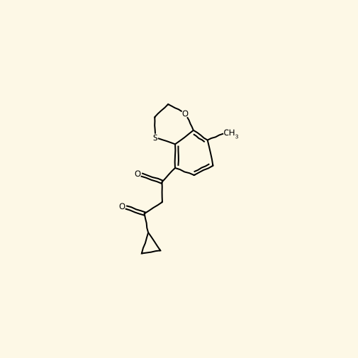 Cc1ccc(C(=O)CC(=O)C2CC2)c2c1OCCS2